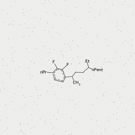 CCCCCC(CC)CCC(C)c1ccc(CCC)c(F)c1F